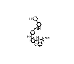 CNS(=O)(=O)c1ccccc1Nc1nc(Nc2ccc(CNc3cccc(C4CCCNC4)c3)cc2)ncc1C(F)(F)F